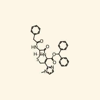 Cn1ccnc1C1=C(C(=O)OC(c2ccccc2)c2ccccc2)N2C(=O)C(NC(=O)Cc3ccccc3)[C@@H]2SC1